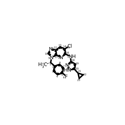 C[C@@H](c1ccc(F)cc1)n1cnc2cc(Cl)c(Nc3cc(C4CC4)[nH]n3)nc21